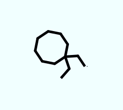 [CH2]CC1(CC)CCCCCCC1